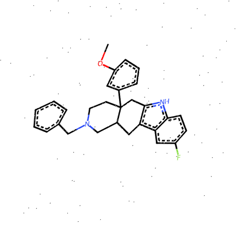 COc1cccc(C23CCN(Cc4ccccc4)CC2Cc2c([nH]c4ccc(F)cc24)C3)c1